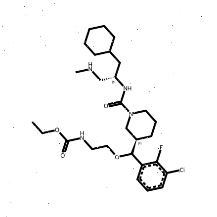 CCOC(=O)NCCOC(c1cccc(Cl)c1F)[C@@H]1CCCN(C(=O)N[C@H](CNC)CC2CCCCC2)C1